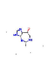 CC1=Nc2[nH]cnc2C(=O)CN1